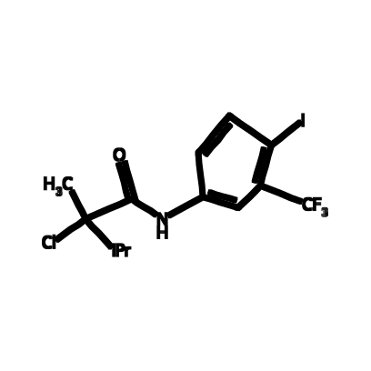 CC(C)C(C)(Cl)C(=O)Nc1ccc(I)c(C(F)(F)F)c1